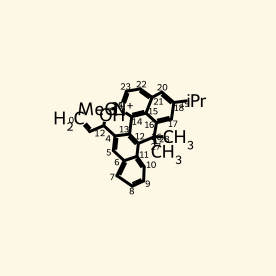 C=CC(O)c1cc2ccccc2c2c1-c1c3c(cc(C(C)C)cc3cc[n+]1OC)C2(C)C